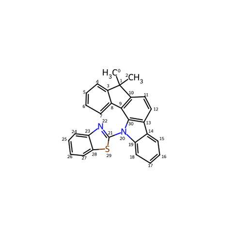 CC1(C)c2ccccc2-c2c1ccc1c3ccccc3n(-c3nc4ccccc4s3)c21